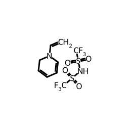 C=CN1C=CC=CC1.O=S(=O)(NS(=O)(=O)C(F)(F)F)C(F)(F)F